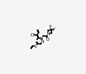 C=CSC(=C)/C=N\N(CC(=O)N1CC(F)(F)C1)/C(C)=C(/Cl)C=C